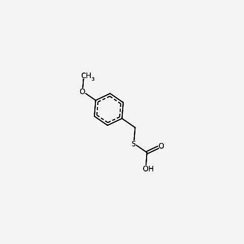 COc1ccc(CSC(=O)O)cc1